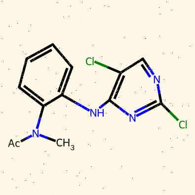 CC(=O)N(C)c1ccccc1Nc1nc(Cl)ncc1Cl